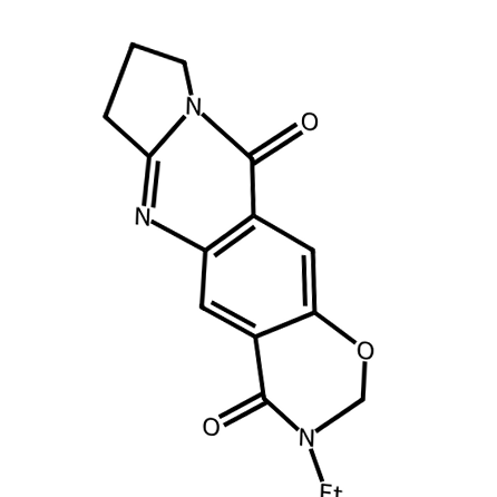 CCN1COc2cc3c(=O)n4c(nc3cc2C1=O)CCC4